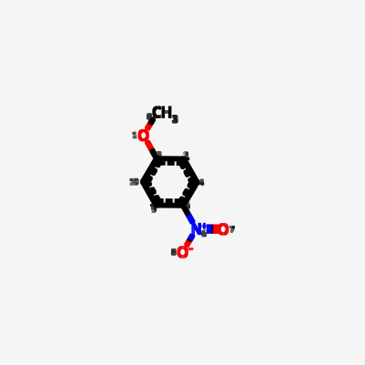 COc1[c]cc([N+](=O)[O-])[c]c1